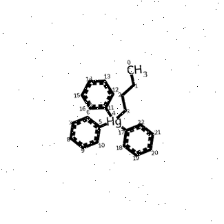 CCC[CH2][Hg]([c]1ccccc1)([c]1ccccc1)[c]1ccccc1